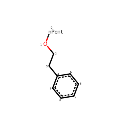 [CH2]CCCCOCCc1ccccc1